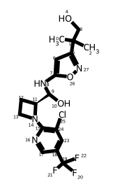 CC(C)(CO)c1cc(NC(O)[C@@H]2CCN2c2ncc(C(F)(F)F)cc2Cl)on1